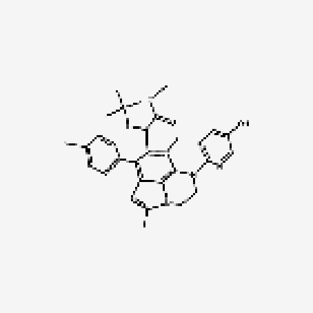 COC(=O)C(OC(C)(C)C)c1c(C)c2c3c(cc(C)n3CCN2c2ncc(O)cn2)c1-c1ccc(C)cc1